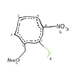 COc1cccc([N+](=O)[O-])c1F